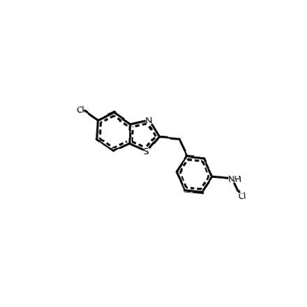 ClNc1cccc(Cc2nc3cc(Cl)ccc3s2)c1